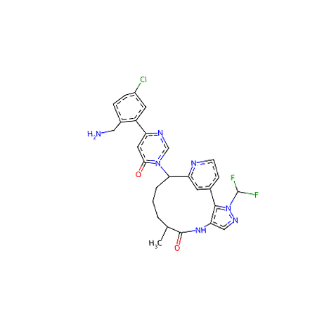 CC1CCCC(n2cnc(-c3cc(Cl)ccc3CN)cc2=O)c2cc(ccn2)-c2c(cnn2C(F)F)NC1=O